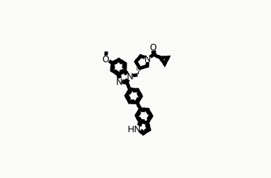 COc1ccc2c(c1)nc(-c1ccc(-c3ccc4cc[nH]c4c3)cc1)n2C[C@@H]1CCN(C(=O)C2CC2)C1